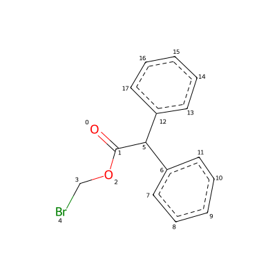 O=C(OCBr)C(c1ccccc1)c1ccccc1